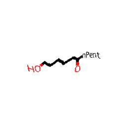 CCCCCC(=O)CCCCCO